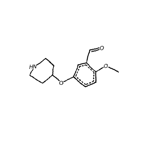 COc1ccc(OC2CCNCC2)cc1C=O